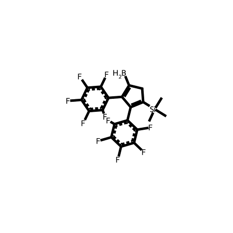 BC1=C(c2c(F)c(F)c(F)c(F)c2F)C(c2c(F)c(F)c(F)c(F)c2F)=C([Si](C)(C)C)C1